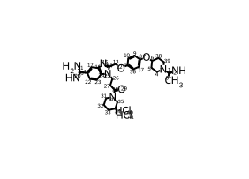 CC(=N)N1CCC(Oc2ccc(OCc3nc4cc(C(=N)N)ccc4n3CCC(=O)N3CCCCC3)cc2)CC1.Cl.Cl